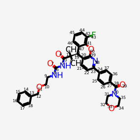 CC(C)(C(=O)NC(=O)NCCOCc1ccccc1)[C@@H]1c2ccc(-c3ccc(C(=O)N4CCOCC4)cc3)nc2Oc2c(F)cccc21